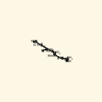 C=C1NC2CSC(CCCCNC(=O)OCCOCCN(CC(=O)NCCNC(=O)OC(C)c3cc(OC)c(OCCCC(=O)NCc4ccc(COc5nc(N)nc6[nH]cnc56)cc4)cc3[N+](=O)[O-])C(=O)CCC3(C)N=N3)C2N1